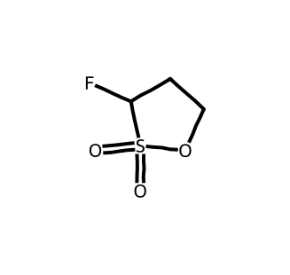 O=S1(=O)OCCC1F